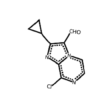 O=Cc1c(C2CC2)nc2c(Cl)nccn12